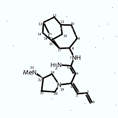 C=C/C=C(\C=C(/N)NC1CCC2CC3CC(C2)C1C3)N1CC[C@@H](NC)C1